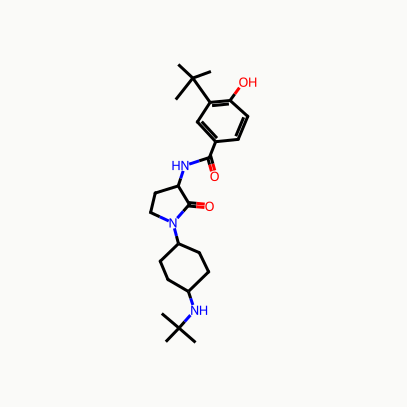 CC(C)(C)NC1CCC(N2CCC(NC(=O)c3ccc(O)c(C(C)(C)C)c3)C2=O)CC1